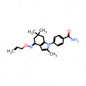 C=CCON=C1CC(C)(C)Cc2c1cc(C)n2-c1ccc(C(N)=O)cc1